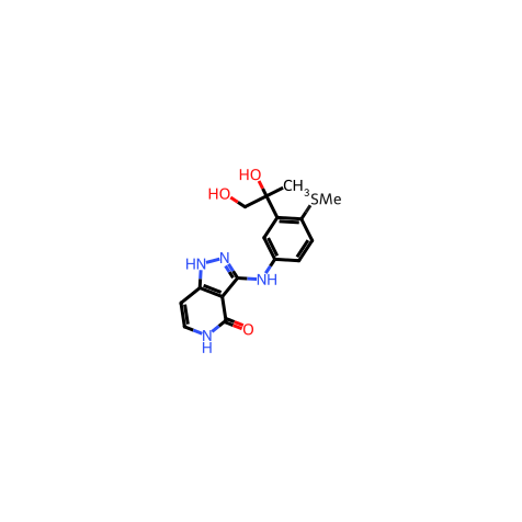 CSc1ccc(Nc2n[nH]c3cc[nH]c(=O)c23)cc1C(C)(O)CO